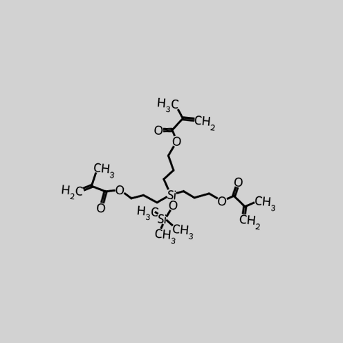 C=C(C)C(=O)OCCC[Si](CCCOC(=O)C(=C)C)(CCCOC(=O)C(=C)C)O[Si](C)(C)C